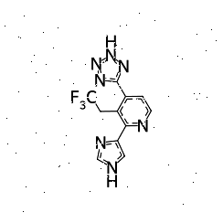 FC(F)(F)Cc1c(-c2nn[nH]n2)ccnc1-c1c[nH]cn1